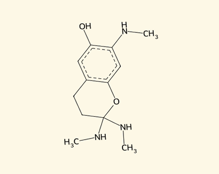 CNc1cc2c(cc1O)CCC(NC)(NC)O2